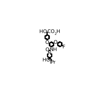 CC(C)CC1(O)CCN(C(=O)Nc2cc(Oc3ccc(F)cc3)cc(Oc3ccc(C(O)C(=O)O)cc3)c2)CC1